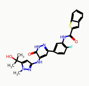 Cn1nc(Nc2cc(-c3ccc(F)c(NC(=O)c4cc5ccccc5s4)c3)n[nH]c2=O)cc1C(C)(C)O